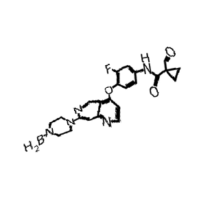 BN1CCN(c2cc3nccc(Oc4ccc(NC(=O)C5(C=O)CC5)cc4F)c3cn2)CC1